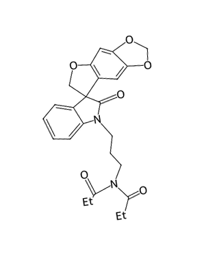 CCC(=O)N(CCCN1C(=O)C2(COc3cc4c(cc32)OCO4)c2ccccc21)C(=O)CC